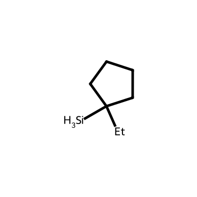 CCC1([SiH3])CCCC1